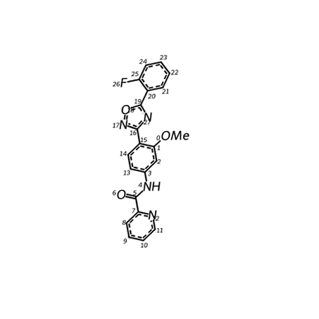 COc1cc(NC(=O)c2ccccn2)ccc1-c1noc(-c2ccccc2F)n1